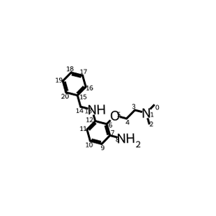 CN(C)CCOc1c(N)cccc1NCc1ccccc1